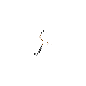 C=BSSC.S